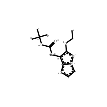 CCOc1nn2ccsc2c1NC(=O)OC(C)(C)C